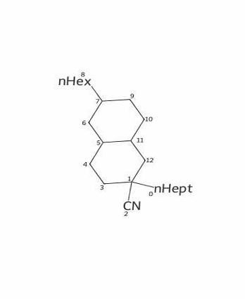 CCCCCCCC1(C#N)CCC2CC(CCCCCC)CCC2C1